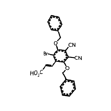 N#Cc1c(C#N)c(OCc2ccccc2)c(C=CC(=O)O)c(Br)c1OCc1ccccc1